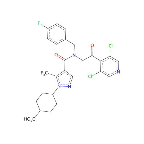 O=C(CN(Cc1ccc(F)cc1)C(=O)c1cnn(C2CCC(C(=O)O)CC2)c1C(F)(F)F)c1c(Cl)cncc1Cl